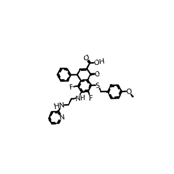 COc1ccc(CSc2c(F)c(NCCNc3ccccn3)c(F)c3c2C(=O)C(C(=O)O)=CC3c2ccccc2)cc1